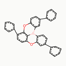 c1ccc(-c2ccc3c(c2)Oc2ccc(-c4ccccc4)c4c2B3c2cc(-c3ccccc3)ccc2O4)cc1